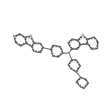 c1ccc(-c2ccc(N(c3ccc(-c4ccc5c(c4)oc4cnccc45)cc3)c3ccc4oc5ccccc5c4c3)cc2)cc1